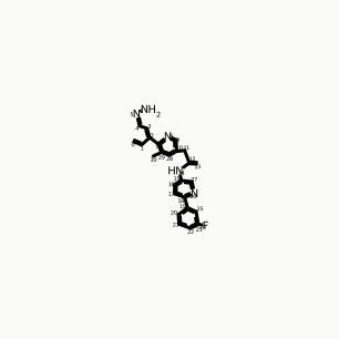 C=C/C(=C\C=N/N)c1ncc(CC(=C)Nc2ccc(-c3cccc(F)c3)nc2)cc1C